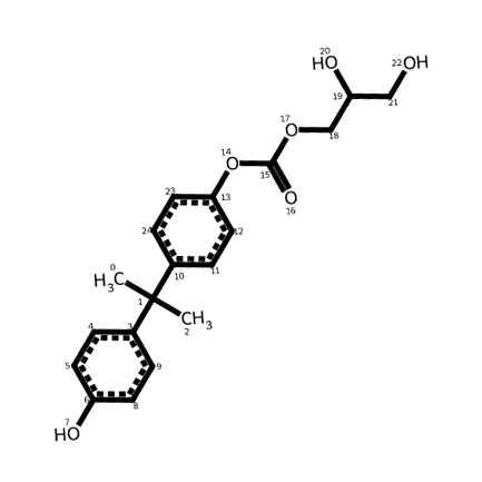 CC(C)(c1ccc(O)cc1)c1ccc(OC(=O)OCC(O)CO)cc1